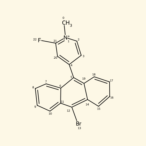 C[n+]1ccc(-c2c3ccccc3c(Br)c3ccccc23)cc1F